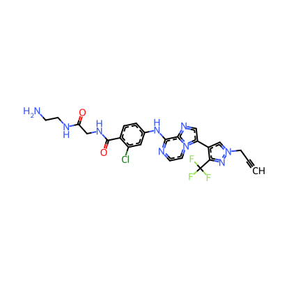 C#CCn1cc(-c2cnc3c(Nc4ccc(C(=O)NCC(=O)NCCN)c(Cl)c4)nccn23)c(C(F)(F)F)n1